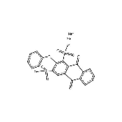 O=C1c2ccccc2C(=O)c2c1cc(S(=O)(=O)[O-])c(Oc1ccccc1)c2S(=O)(=O)[O-].[Na+].[Na+]